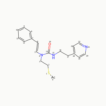 CC(=O)SCCN(C=Cc1ccccc1)C(=O)NCCc1ccncc1